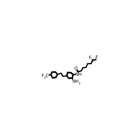 Nc1cc(CCc2ccc(C(F)(F)F)cc2)ccc1NC(=O)CCCCC[C@H](F)CF